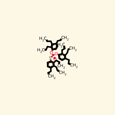 C=CCc1ccc(OP(=O)(Oc2ccc(CC=C)c(CC=C)c2CC=C)Sc2ccc(CC=C)c(CC=C)c2CC=C)c(CC=C)c1CC=C